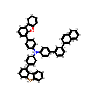 C1=Cc2oc3c(-c4ccc(N(c5ccc(-c6cccc(-c7ccc8ccccc8c7)c6)cc5)C5C=CC(c6cccc7sc8ccccc8c67)=CC5)cc4)cccc3c2CC1